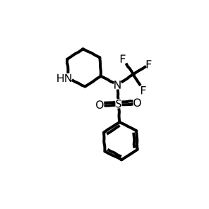 O=S(=O)(c1ccccc1)N(C1CCCNC1)C(F)(F)F